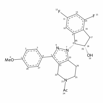 COc1ccc(-c2nn([C@@H]3c4cc(F)cc(F)c4C[C@@H]3O)c3c2CN(C(C)=O)CC3)cc1